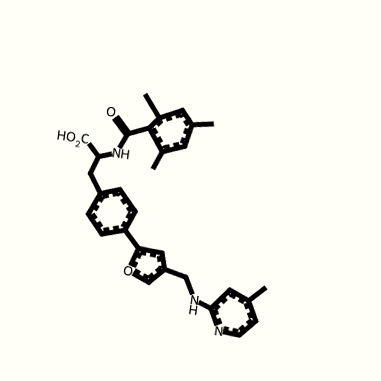 Cc1ccnc(NCc2coc(-c3ccc(CC(NC(=O)c4c(C)cc(C)cc4C)C(=O)O)cc3)c2)c1